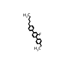 CCCCCc1ccc(-c2ccc(-c3ccc(CC)cc3)c(F)c2)cc1